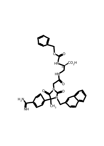 CC1(c2ccc(C(=N)N)cc2)C(=O)N(CC(=O)NC[C@@H](NC(=O)OCc2ccccc2)C(=O)O)C(=O)N1Cc1ccc2ccccc2c1